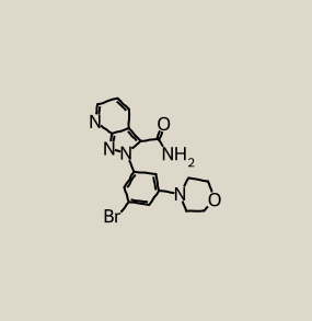 NC(=O)c1c2cccnc2nn1-c1cc(Br)cc(N2CCOCC2)c1